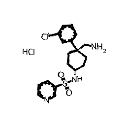 Cl.NC[C@]1(c2cccc(Cl)c2)CC[C@@H](NS(=O)(=O)c2cccnc2)CC1